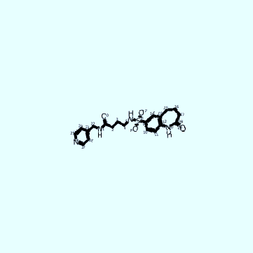 O=C(CCCNS(=O)(=O)c1ccc2c(c1)CCCC(=O)N2)NCc1ccncc1